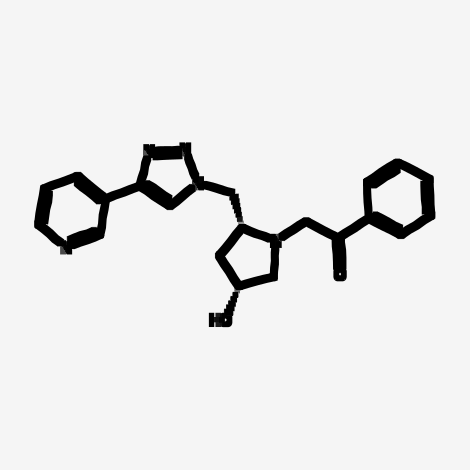 O=C(CN1C[C@H](O)C[C@@H]1Cn1cc(-c2cccnc2)nn1)c1ccccc1